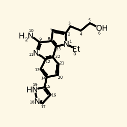 CCn1c(CCCO)cc2c(N)nc3cc(-c4ccn[nH]4)ccc3c21